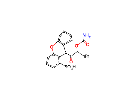 CCCC(OC(N)=O)C(=O)C1c2ccccc2Oc2cccc(S(=O)(=O)O)c21